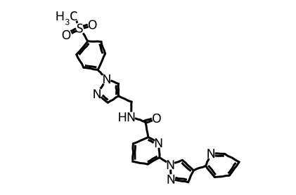 CS(=O)(=O)c1ccc(-n2cc(CNC(=O)c3cccc(-n4cc(-c5ccccn5)cn4)n3)cn2)cc1